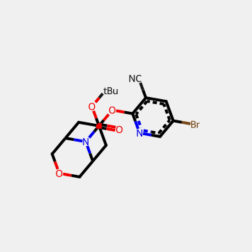 CC(C)(C)OC(=O)N1C2COCC1CC(Oc1ncc(Br)cc1C#N)C2